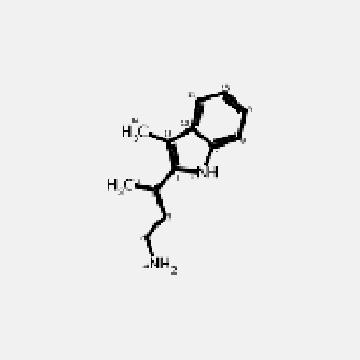 C[C](CCN)c1[nH]c2ccccc2c1C